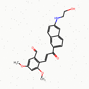 COc1cc(C=O)c(C=CC(=O)c2ccc3cc(NCCO)ccc3c2)c(OC)c1